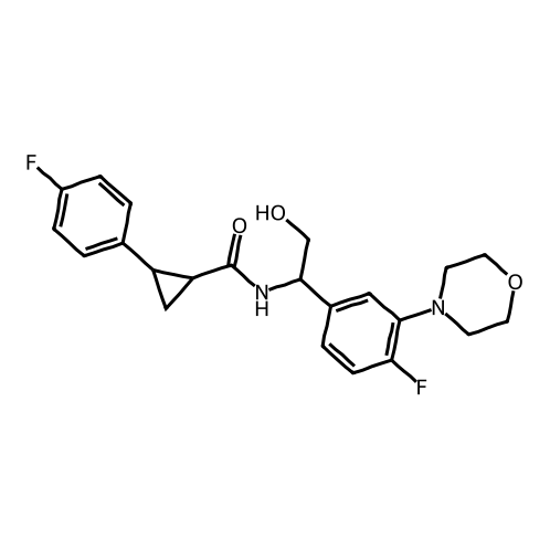 O=C(NC(CO)c1ccc(F)c(N2CCOCC2)c1)C1CC1c1ccc(F)cc1